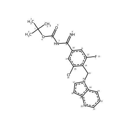 CC(C)(C)OC(=O)NC(=N)c1cc(F)c(Cn2ccc3ncccc32)c(Cl)c1